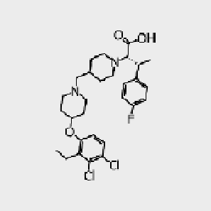 CCc1c(OC2CCN(CC3CCN([C@H](C(=O)O)C(C)c4ccc(F)cc4)CC3)CC2)ccc(Cl)c1Cl